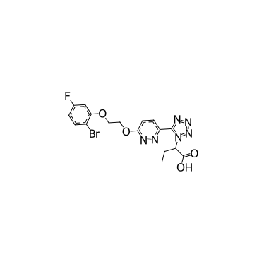 CCC(C(=O)O)n1nnnc1-c1ccc(OCCOc2cc(F)ccc2Br)nn1